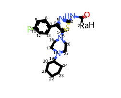 O=[C]([RaH])Nc1nc(-c2ccc(F)cc2)c(N2CCN(C3CCCCC3)CC2)s1